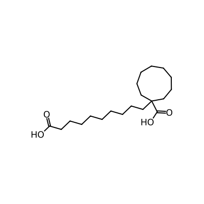 O=C(O)CCCCCCCCCC1(C(=O)O)CCCCCCCC1